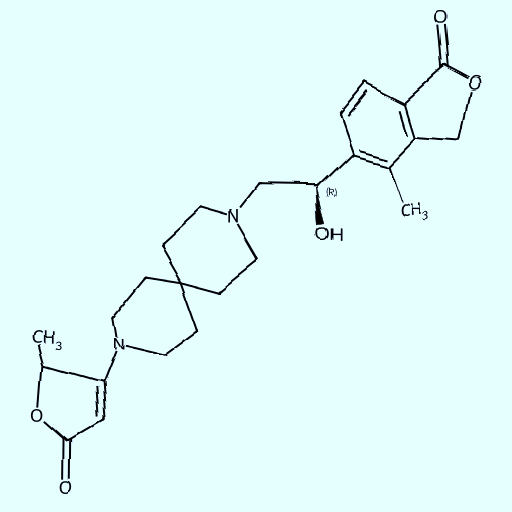 Cc1c([C@@H](O)CN2CCC3(CC2)CCN(C2=CC(=O)OC2C)CC3)ccc2c1COC2=O